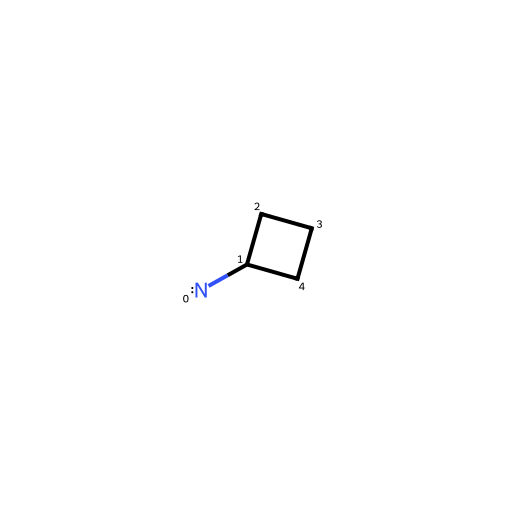 [N]C1CCC1